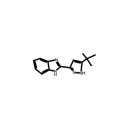 CC(C)(C)c1cc(-c2nc3ccccc3[nH]2)n[nH]1